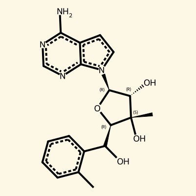 Cc1ccccc1C(O)[C@H]1O[C@@H](n2ccc3c(N)ncnc32)[C@H](O)[C@]1(C)O